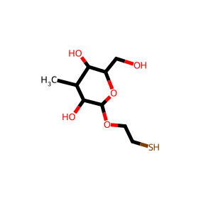 CC1C(O)C(CO)OC(OCCS)C1O